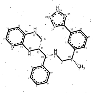 C[C@H](CN[C@H](c1ccccc1)[C@H]1CNc2cccnc2N1)c1cccc(-c2nn[nH]n2)c1